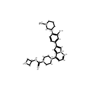 CC(C)N1CCC[C@@H](c2ccc(-c3cc4c(N5CCN(C(=O)OC6COC6)CC5)ccnn4c3)cc2F)C1